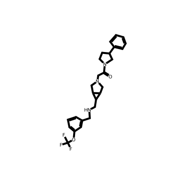 O=C(CN1CC2C(CNCc3cccc(OC(F)(F)F)c3)C2C1)N1CCC(c2ccccc2)C1